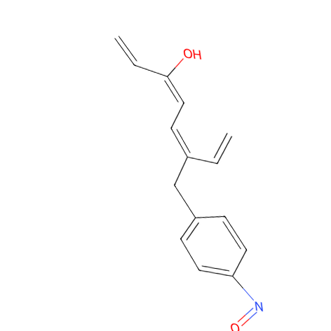 C=C/C(=C\C=C(\O)C=C)Cc1ccc(N=O)cc1